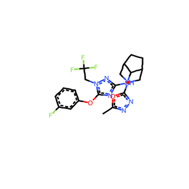 Cc1nnc(N2CC3CCC(C2)C3Nc2nc(Oc3cccc(F)c3)n(CC(F)(F)F)n2)o1